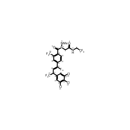 CNN(CC(=O)NCC(F)(F)F)C(=O)c1ccc(C(F)=CC(c2cc(Cl)c(Cl)c(Cl)c2)C(F)(F)F)cc1C(F)(F)F